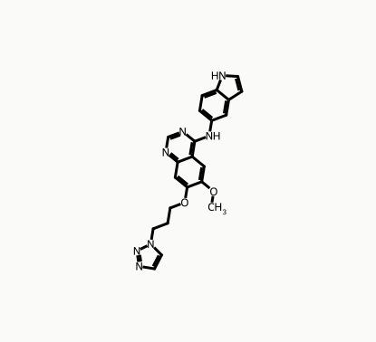 COc1cc2c(Nc3ccc4[nH]ccc4c3)ncnc2cc1OCCCn1ccnn1